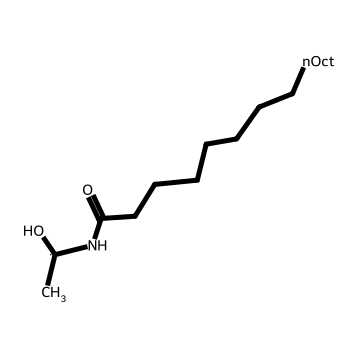 CCCCCCCCCCCCCCCC(=O)N[C](C)O